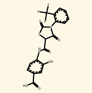 O=C(O)c1ccc(NC(=S)C2SC(=S)N(c3ccccc3C(F)(F)F)C2=O)c(O)c1